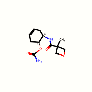 CC1(C(=O)N[C@@H]2CC=CC[C@H]2OC(N)=O)COC1